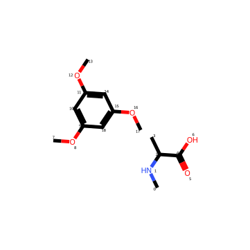 CNC(C)C(=O)O.COc1cc(OC)cc(OC)c1